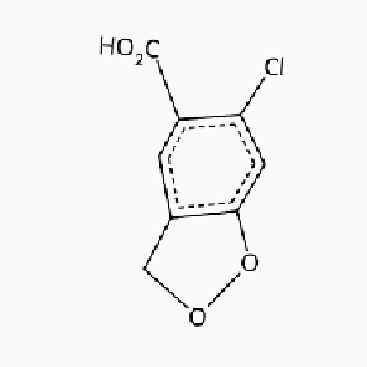 O=C(O)c1cc2c(cc1Cl)OOC2